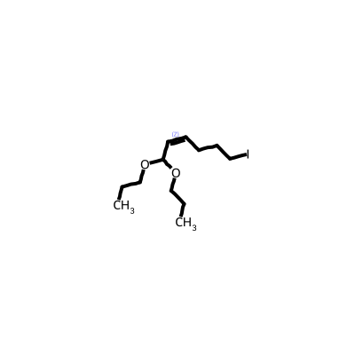 CCCOC(/C=C\CCCI)OCCC